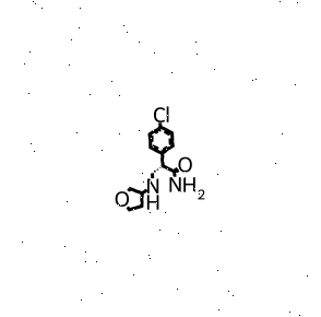 NC(=O)[C@H](CNC1CCOC1)c1ccc(Cl)cc1